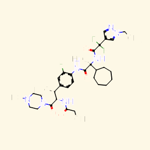 CCC(=O)N[C@@H](C(=O)N1CCN(C)CC1)[C@@H](C)c1ccc(NC(=O)[C@](C)(NC(=O)C(F)(F)c2cnn(CC)c2)C2CCCCCC2)c(F)c1